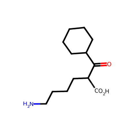 NCCCCC(C(=O)O)C(=O)C1CCCCC1